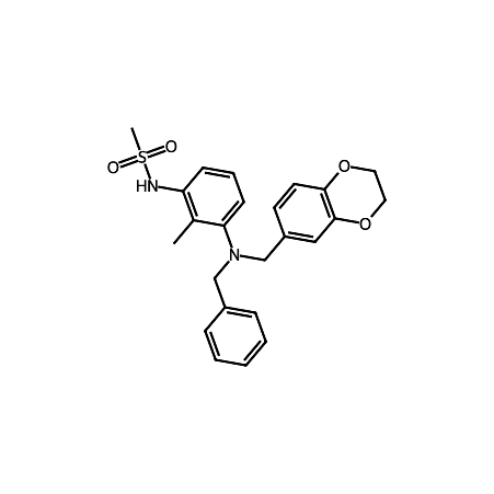 Cc1c(NS(C)(=O)=O)cccc1N(Cc1ccccc1)Cc1ccc2c(c1)OCCO2